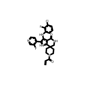 C=CC(=O)N1CCC2(CC1)CNC(=O)c1c2[nH]c(-c2ccncc2F)c1Nc1cccc(Cl)c1F